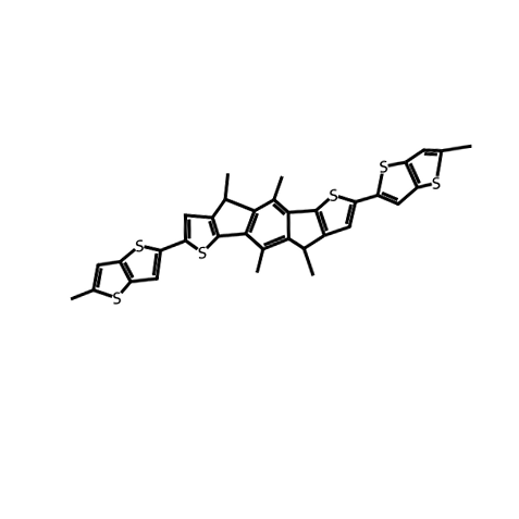 Cc1cc2sc(-c3cc4c(s3)-c3c(C)c5c(c(C)c3C4C)-c3sc(-c4cc6sc(C)cc6s4)cc3C5C)cc2s1